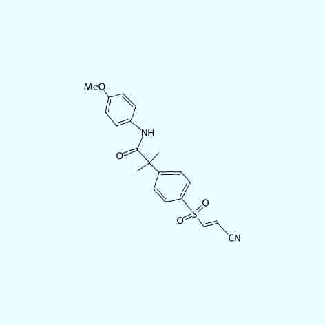 COc1ccc(NC(=O)C(C)(C)c2ccc(S(=O)(=O)C=CC#N)cc2)cc1